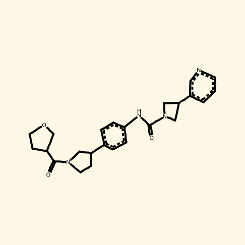 O=C(Nc1ccc(C2CCN(C(=O)C3CCOC3)C2)cc1)N1CC(c2cccnc2)C1